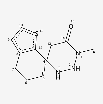 CN1NN[C@]2(CCCc3ccsc32)CC1=O